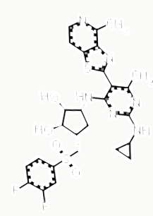 Cc1nc(NC2CC2)nc(N[C@@H]2C[C@H](CS(=O)(=O)c3ccc(F)c(F)c3)[C@@H](O)[C@H]2O)c1-c1nc2c(C)nccc2s1